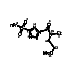 CCCS(=O)(=O)c1ncn(C(=O)N(CC)CCOC)n1